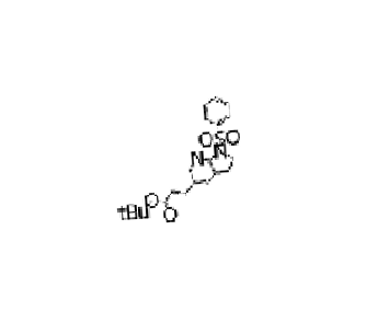 CC(C)(C)OC(=O)/C=C/c1cnc2c(c1)CCN2S(=O)(=O)c1ccccc1